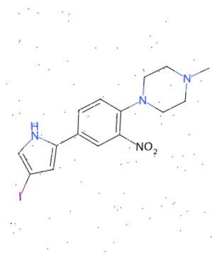 CN1CCN(c2ccc(-c3cc(I)c[nH]3)cc2[N+](=O)[O-])CC1